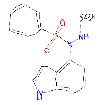 O=S(=O)(O)NN(c1cccc2[nH]ccc12)S(=O)(=O)c1ccccc1